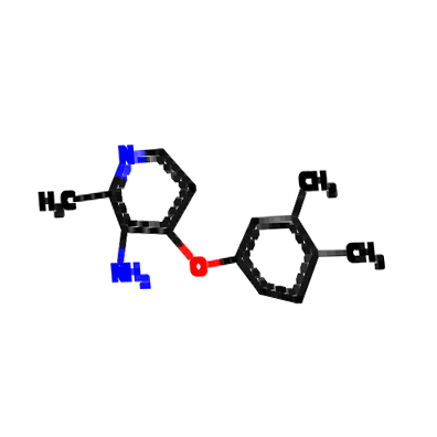 Cc1ccc(Oc2ccnc(C)c2N)cc1C